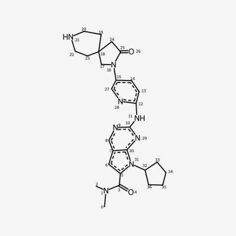 CN(C)C(=O)c1cc2cnc(Nc3ccc(N4CC5(CCNCC5)CC4=O)cn3)nc2n1C1CCCC1